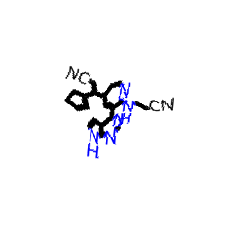 N#CCCNC1=NCCC(C(CC#N)C2CCCC2)C=C1c1ncnc2[nH]ccc12